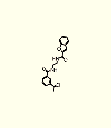 CC(=O)c1cccc(C(=O)NCCNC(=O)c2cc3ccccc3o2)c1